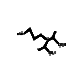 CCCCCCCCCCCCN(C(C)C(=O)O)C(C)C(=O)O